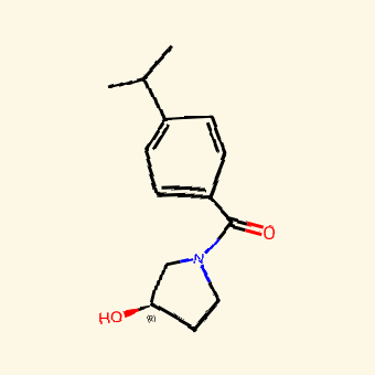 CC(C)c1ccc(C(=O)N2CC[C@@H](O)C2)cc1